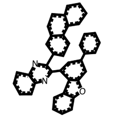 c1ccc(-c2cc(-c3nc4ccccc4nc3-c3ccc4c(ccc5ccccc54)c3)c3c(c2)oc2ccccc23)cc1